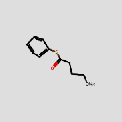 COCCCC(=O)Sc1ccccc1